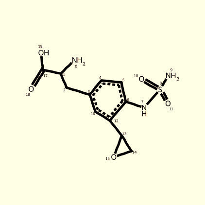 NC(Cc1ccc(NS(N)(=O)=O)c(C2CO2)c1)C(=O)O